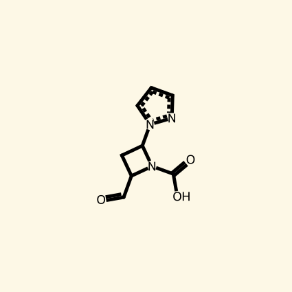 O=CC1CC(n2cccn2)N1C(=O)O